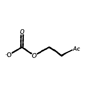 CC(=O)CCOC([O])=O